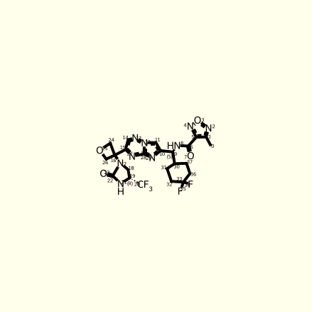 Cc1nonc1C(=O)N[C@H](c1cn2ncc(C3(N4C[C@H](C(F)(F)F)NC4=O)COC3)nc2n1)C1CCC(F)(F)CC1